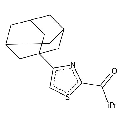 CC(C)C(=O)c1nc(C23CC4CC(CC(C4)C2)C3)cs1